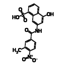 Cc1cc(C(=O)Nc2cc(O)c3cccc(S(=O)(=O)O)c3c2)ccc1[N+](=O)[O-]